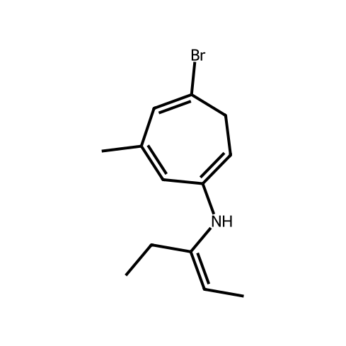 C/C=C(/CC)NC1=CCC(Br)=CC(C)=C1